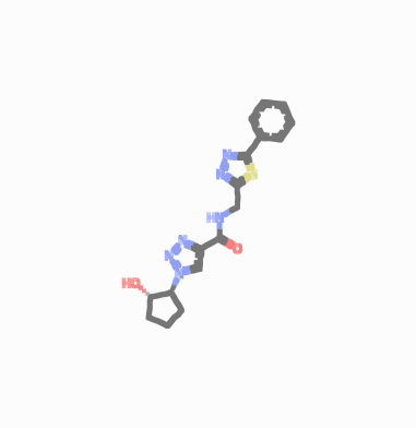 O=C(NCc1nnc(-c2ccccc2)s1)c1cn([C@H]2CCC[C@@H]2O)nn1